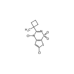 CC1(C2=NS(=O)(=O)c3sc(Cl)cc3N2Cl)CCC1